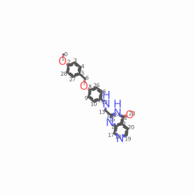 COc1ccc(COc2ccc(NCc3nc4cnccc4c(=O)[nH]3)cc2)cc1